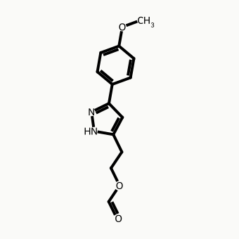 COc1ccc(-c2cc(CCOC=O)[nH]n2)cc1